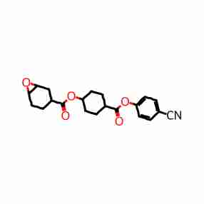 N#Cc1ccc(OC(=O)C2CCC(OC(=O)C3CCC4OC4C3)CC2)cc1